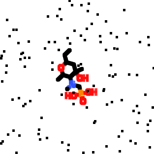 CCC1CC(C)(O)C(N(C)CP(=O)(O)O)C(C)O1